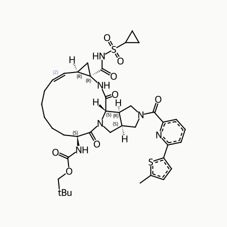 Cc1ccc(-c2cccc(C(=O)N3C[C@H]4CN5C(=O)[C@@H](NC(=O)OCC(C)(C)C)CCCCC/C=C\[C@H]6C[C@@]6(C(=O)NS(=O)(=O)C6CC6)NC(=O)[C@@H]5[C@H]4C3)n2)s1